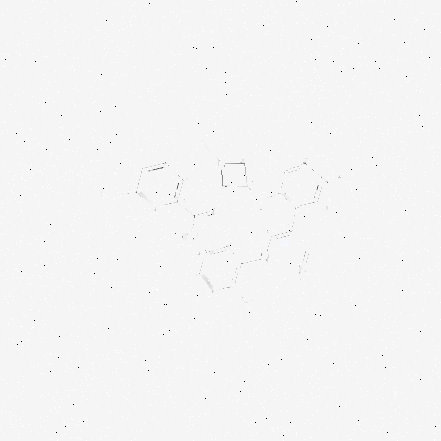 Cc1ccc(NC(=O)c2cccc(C(F)(F)F)c2)cc1N/C=C(\C=N)c1cnccc1OC1CN(C)C1